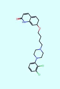 O=c1ccc2c([nH]1)=CC(OCCCCN1CCN(c3cccc(Cl)c3Cl)CC1)CC=2